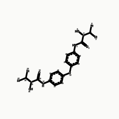 CCC(CC)N(O)C(=O)Nc1ccc(Oc2ccc(NC(=O)N(O)C(CC)CC)cc2)cc1